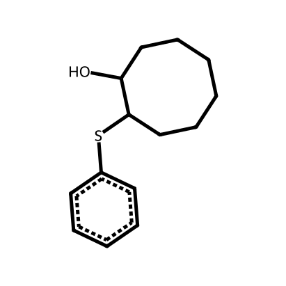 OC1CCCCCCC1Sc1ccccc1